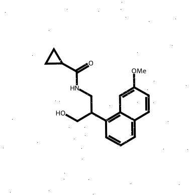 COc1ccc2cccc(C(CO)CNC(=O)C3CC3)c2c1